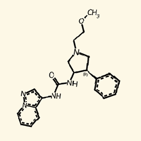 COCCN1CC(NC(=O)Nc2cnn3ccccc23)[C@H](c2ccccc2)C1